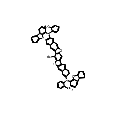 Cc1ccccc1N(c1ccc2cc3c(cc2c1)oc1c(C(C)(C)C)c2c(cc13)oc1cc3cc(N(c4ccccc4C)c4cccc5c4oc4ccccc45)ccc3cc12)c1cccc2c1oc1ccccc12